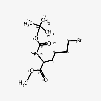 COC(=O)C(CCCCBr)NC(=O)OC(C)(C)C